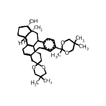 CC1(C)COC2(CC[C@@]34Cc5cc(C6(C)OCC(C)(C)CO6)ccc5C5C[C@]6(C)[C@@H](O)CC[C@H]6[C@H](CC=C3C2)C54)OC1